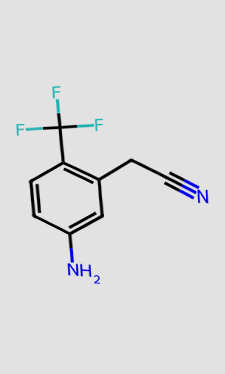 N#CCc1cc(N)ccc1C(F)(F)F